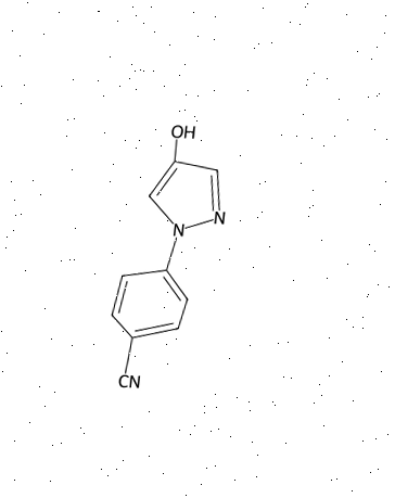 N#Cc1ccc(-n2cc(O)cn2)cc1